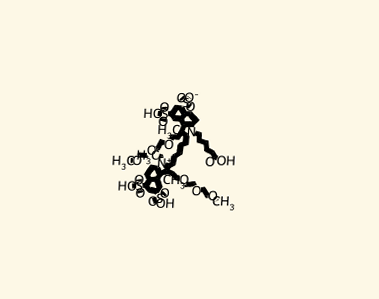 CC[N+]1=C(/C=C/C=C/C=C2/N(CCCCCC(=O)O)c3ccc4c(S(=O)(=O)[O-])cc(S(=O)(=O)O)cc4c3C2(C)CCOCCOCCOC)C(C)(CCOCCOCCOC)c2c1ccc1c(S(=O)(=O)O)cc(S(=O)(=O)O)cc21